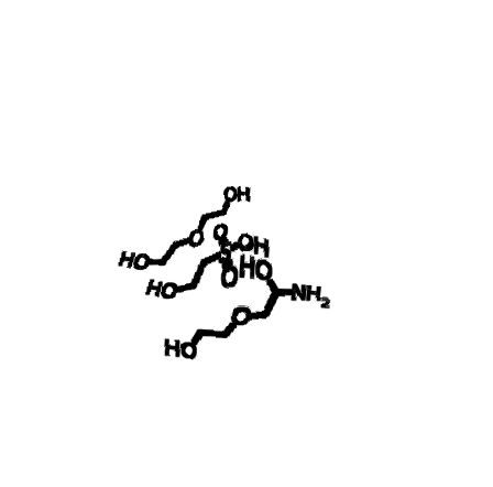 NC(O)COCCO.O=S(=O)(O)CCO.OCCOCCO